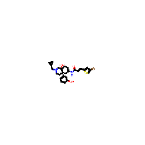 O=C(/C=C/c1cc(Br)cs1)N[C@H]1CC[C@]2(O)CN(CC3CC3)CC[C@@]2(c2cccc(O)c2)C1